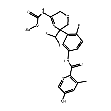 Cc1cc(C#N)cnc1C(=O)Nc1ccc(F)c(C2(C(F)F)COCC(NC(=O)OC(C)(C)C)=N2)c1